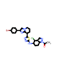 CC(=O)n1ncc2c(Cl)c(Nc3nnc(-c4cccn5cc(-c6ccc(Br)cc6)nc45)s3)ccc21